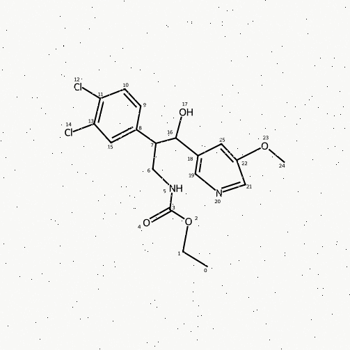 CCOC(=O)NCC(c1ccc(Cl)c(Cl)c1)C(O)c1cncc(OC)c1